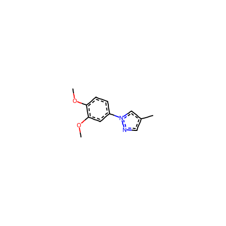 COc1ccc(-n2cc(C)cn2)cc1OC